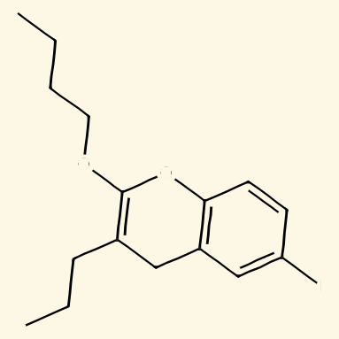 CCCCOC1=C(CCC)Cc2cc(I)ccc2O1